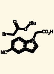 CC(C)(C)OC(=O)CBr.N#Cc1ccc2c(ccn2CC(=O)O)c1